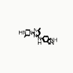 Cc1cc(Nc2ccc3[nH]ncc3c2)nc(N2CCNC(C)C2)n1